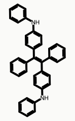 c1ccc(Nc2ccc(/C(=C(\c3ccccc3)c3ccc(Nc4ccccc4)cc3)c3ccccc3)cc2)cc1